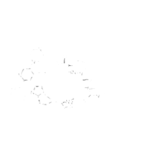 CCn1c(-c2cc(N3CCN(C)CC3)cnc2[C@H](C)OC)c2c3cc(ccc31)-c1csc(n1)C[C@H](NC(=O)N1CC[C@H]1C)C(=O)N1CCC[C@H](N1)C(=O)OCC(C)(C)C2